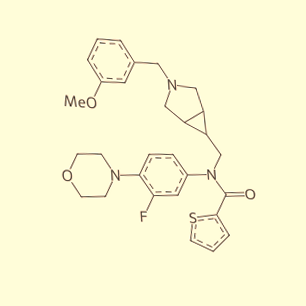 COc1cccc(CN2CC3C(C2)C3CN(C(=O)c2cccs2)c2ccc(N3CCOCC3)c(F)c2)c1